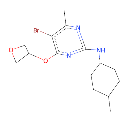 Cc1nc(NC2CCC(C)CC2)nc(OC2COC2)c1Br